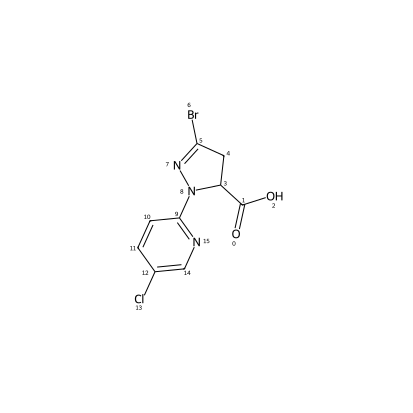 O=C(O)C1CC(Br)=NN1c1ccc(Cl)cn1